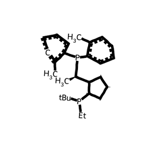 CCP([C]1[CH][CH][CH][C]1[C@@H](C)P(c1ccccc1C)c1ccccc1C)C(C)(C)C